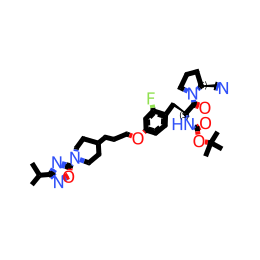 CC(C)c1noc(N2CCC(CCCOc3ccc(C[C@H](NC(=O)OC(C)(C)C)C(=O)N4CCC[C@H]4C#N)c(F)c3)CC2)n1